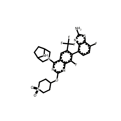 Nc1nc2c(-c3c(C(F)(F)F)cc4c(N5CC6CCC(C5)N6)nc(OC5CCS(=O)(=O)CC5)nc4c3F)ccc(F)c2s1